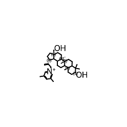 C=C(C[n+]1cc(C)cc(C)c1)[C@@H]1CC[C@]2(CO)CC[C@]3(C)C(CCC4[C@@]5(C)CC[C@H](O)C(C)(C)C5CC[C@]43C)C12